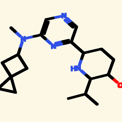 CC(C)C1NC(c2cncc(N(C)C3CC4(CC4)C3)n2)CCC1O